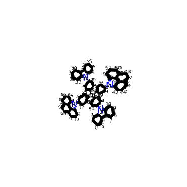 c1ccc2c(c1)c1ccccc1n2-c1ccc([Si](c2ccc(-n3c4ccccc4c4ccccc43)cc2)(c2ccc(-n3c4cccc5ccc6cccc3c6c54)cc2)c2ccc(-n3c4cccc5ccc6cccc3c6c54)cc2)cc1